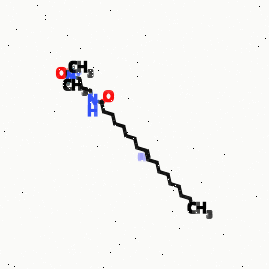 CCCCCCCC/C=C/CCCCCCCC(=O)NCCC[N+](C)(C)[O-]